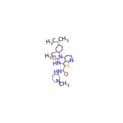 Cc1cc(C(C)C)ccc1N1C(=O)Nc2c(C(=O)N[C@@H]3CCCN(C)C3)sc3nccc1c23